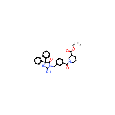 CCOC(=O)C1CCCN(C(=O)c2cccc(CN3C(=N)NC(c4ccccc4)(c4ccccc4)C3=O)c2)C1